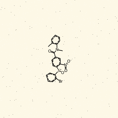 Cc1ccccc1N(C)C(=O)c1ccc([S+]([O-])c2ccccc2Br)c([N+](=O)[O-])c1